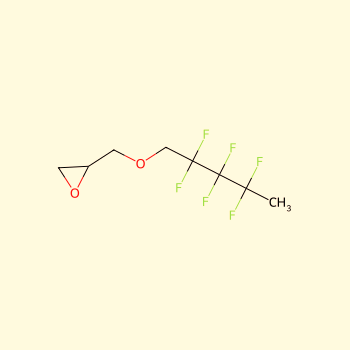 CC(F)(F)C(F)(F)C(F)(F)COCC1CO1